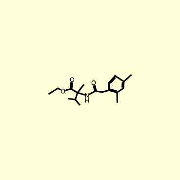 CCOC(=O)C(C)(NC(=O)Cc1ccc(C)cc1C)C(C)C